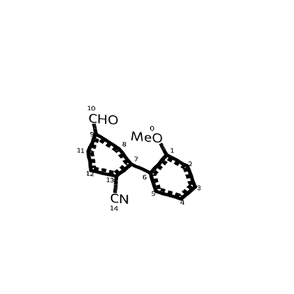 COc1ccccc1-c1cc(C=O)ccc1C#N